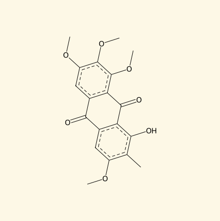 COc1cc2c(c(O)c1C)C(=O)c1c(cc(OC)c(OC)c1OC)C2=O